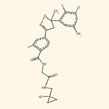 Cc1cc(C2=NOC(c3cc(C(F)(F)F)cc(Cl)c3F)(C(F)(F)F)C2)ccc1C(=O)NCC(=O)NCC1(C#N)CC1